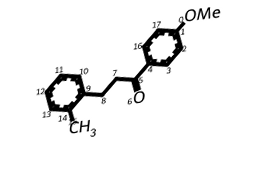 COc1ccc(C(=O)CCc2ccccc2C)cc1